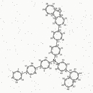 c1ccc(-c2ccc(-c3ccc(N(c4ccc(-c5ccc(-c6ccc7oc8ccccc8c7c6)cc5)cc4)c4ccc(-c5cccc6ccccc56)cc4)cc3)cc2)cc1